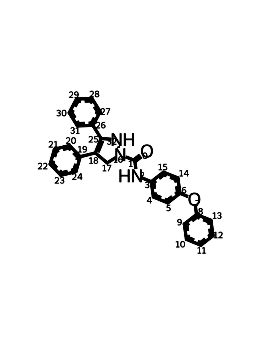 O=C(Nc1ccc(Oc2ccccc2)cc1)N1CC(c2ccccc2)=C(c2ccccc2)N1